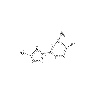 Cc1ccn(-c2ccc(F)c(C)c2)n1